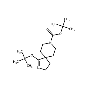 CC(C)(C)OC(=O)N1CCC2(CCN=C2O[Si](C)(C)C)CC1